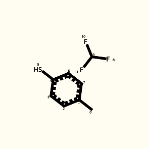 Cc1ccc(S)cc1.FC(F)F